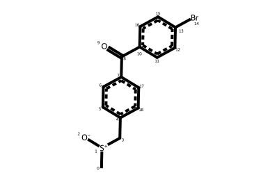 C[S+]([O-])Cc1ccc(C(=O)c2ccc(Br)cc2)cc1